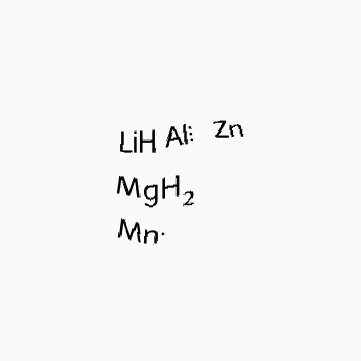 [Al].[LiH].[MgH2].[Mn].[Zn]